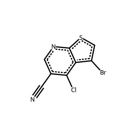 N#Cc1cnc2scc(Br)c2c1Cl